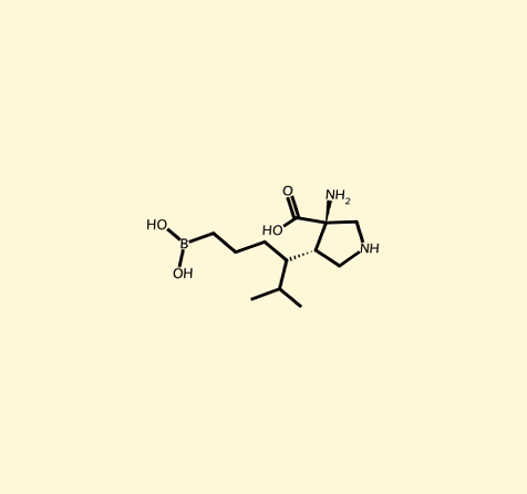 CC(C)C(CCCB(O)O)[C@H]1CNC[C@@]1(N)C(=O)O